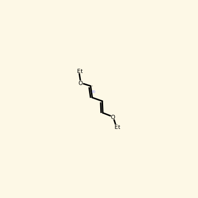 CCO/[C]=C/C=COCC